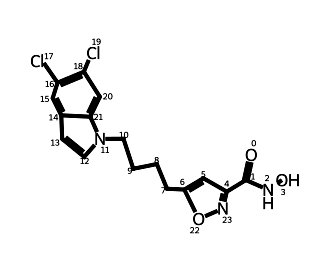 O=C(NO)c1cc(CCCCn2ccc3cc(Cl)c(Cl)cc32)on1